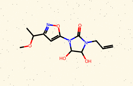 C=CCN1C(=O)N(c2cc(C(C)OC)no2)C(O)C1O